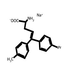 Cc1ccc(/C(=C\CC(N)C(=O)[O-])c2ccc(C(C)C)cc2)cc1.[Na+]